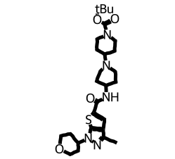 Cc1nn(C2CCOCC2)c2sc(C(=O)NC3CCN(C4CCN(C(=O)OC(C)(C)C)CC4)CC3)cc12